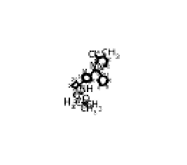 Cc1ccn2c(C3C=CC=CC3)c(-c3ccc(C4(NC(=O)OC(C)(C)C)CCC4)cc3)nc2c1Cl